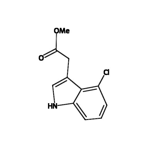 COC(=O)Cc1c[nH]c2cccc(Cl)c12